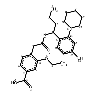 CCCC(NC(=O)Cc1ccc(C(=O)O)cc1OCC)c1ccc(C)cc1N1CCCCC1